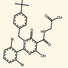 CC(C)(C)c1ccc(Cn2c(-c3c(Br)cccc3Br)nc(O)c(C(=O)NCC(=O)O)c2=O)cc1